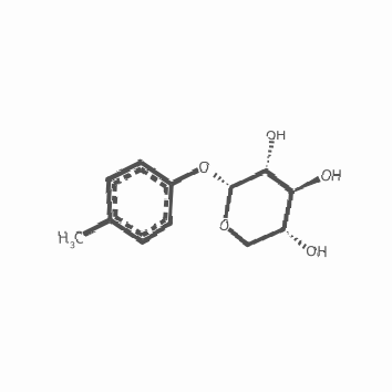 Cc1ccc(O[C@H]2OC[C@@H](O)[C@H](O)[C@H]2O)cc1